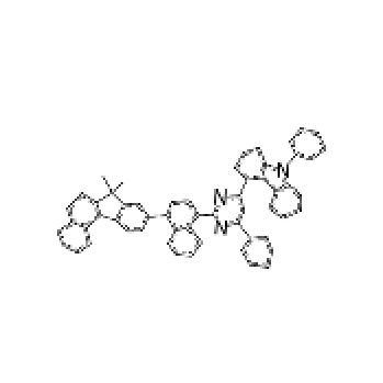 CC1(C)c2cc(-c3ccc(-c4nc(-c5ccccc5)cc(-c5cccc6c5c5ccccc5n6-c5ccccc5)n4)c4ccccc34)ccc2-c2c1ccc1ccccc21